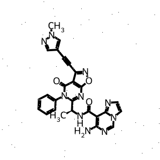 C[C@H](NC(=O)c1c(N)ncn2ccnc12)c1nc2onc(C#Cc3cnn(C)c3)c2c(=O)n1-c1ccccc1